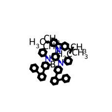 CC(C)(C)c1ccc2c3ccc(C(C)(C)C)cc3n(-c3cc4c5c(c3)N(c3ccccc3)c3ccc(-c6ccccc6-c6ccccc6)cc3B5c3cc(-c5ccccc5-c5ccccc5)ccc3N4c3ccccc3)c2c1